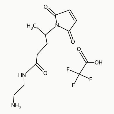 CC(CCC(=O)NCCN)N1C(=O)C=CC1=O.O=C(O)C(F)(F)F